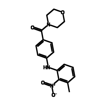 Cc1cccc(Nc2ccc(C(=O)N3CCOCC3)cc2)c1[N+](=O)[O-]